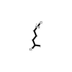 CCC(C)CC[CH2][Mg][Cl]